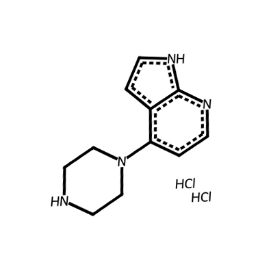 Cl.Cl.c1cc(N2CCNCC2)c2cc[nH]c2n1